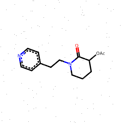 CC(=O)OC1CCCN(CCc2ccncc2)C1=O